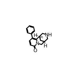 O=c1ccc(-c2ccccc2)c2n1C[C@@H]1CNC[C@H]2C1